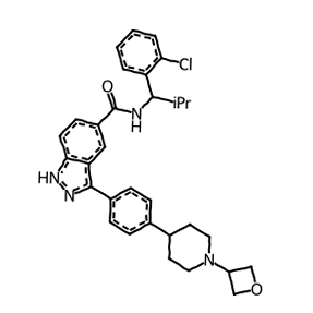 CC(C)C(NC(=O)c1ccc2[nH]nc(-c3ccc(C4CCN(C5COC5)CC4)cc3)c2c1)c1ccccc1Cl